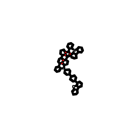 c1ccc(-c2ccc(-c3ccccc3N(c3ccc(-c4ccc(-c5ccccc5-n5c6ccccc6c6ccccc65)cc4)cc3)c3ccc(-c4ccc(-c5cccc6c5oc5ccccc56)cc4)cc3)cc2)cc1